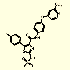 CS(=O)(=O)Nc1nc(C(=O)Nc2ccc(Oc3ccnc(C(=O)O)c3)cc2)c(-c2ccc(F)cc2)s1